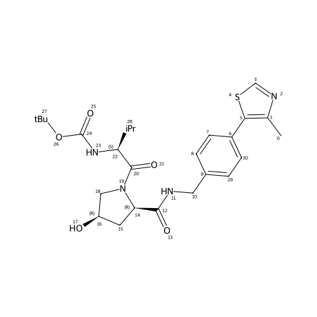 Cc1ncsc1-c1ccc(CNC(=O)[C@H]2C[C@@H](O)CN2C(=O)[C@@H](NC(=O)OC(C)(C)C)C(C)C)cc1